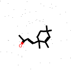 CC(=O)C=CC1(C)CCC(C)(C)C=C1C